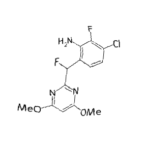 COc1cc(OC)nc(C(F)c2ccc(Cl)c(F)c2N)n1